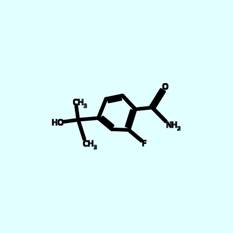 CC(C)(O)c1ccc(C(N)=O)c(F)c1